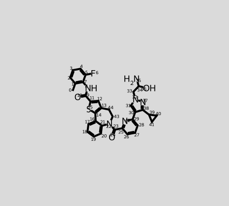 Cc1cccc(F)c1NC(=O)c1cc2c(s1)-c1ccccc1N(C(=O)c1cccc(-c3cn(CC(N)O)nc3C3CC3)n1)CC2